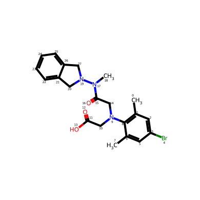 Cc1cc(Br)cc(C)c1N(CC(=O)O)CC(=O)N(C)N1Cc2ccccc2C1